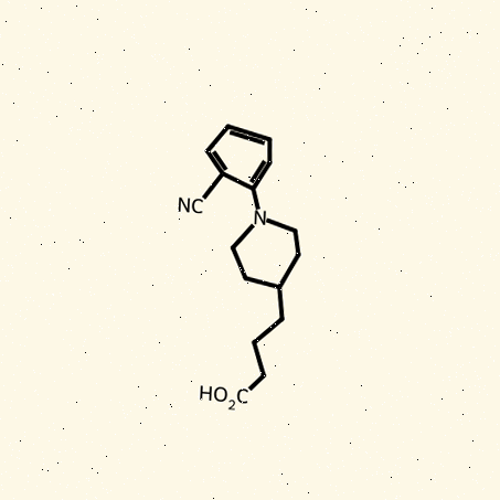 N#Cc1ccccc1N1CCC(CCCC(=O)O)CC1